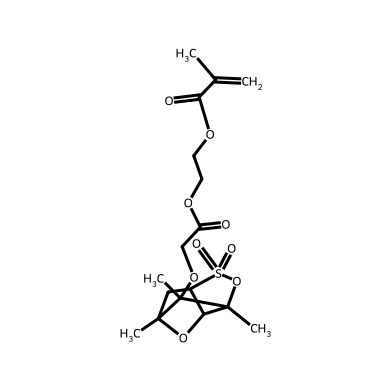 C=C(C)C(=O)OCCOC(=O)COC1(C)C2(C)CC3C(O2)C1(C)OS3(=O)=O